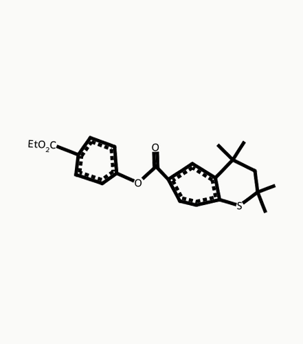 CCOC(=O)c1ccc(OC(=O)c2ccc3c(c2)C(C)(C)CC(C)(C)S3)cc1